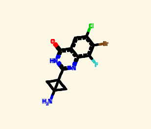 NC12CC1(c1nc3c(F)c(Br)c(Cl)cc3c(=O)[nH]1)C2